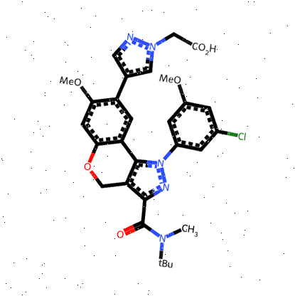 COc1cc(Cl)cc(-n2nc(C(=O)N(C)C(C)(C)C)c3c2-c2cc(-c4cnn(CC(=O)O)c4)c(OC)cc2OC3)c1